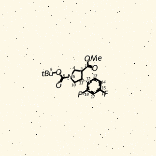 COC(=O)C1CN(C(=O)OC(C)(C)C)C[C@H]1c1ccc(F)cc1F